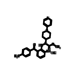 COC(=O)N(Nc1c(N)cccc1C(=O)c1ccc(C)cc1)C1CCN(c2ccncc2)CC1.Cl